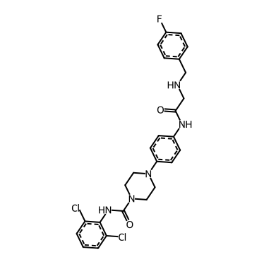 O=C(CNCc1ccc(F)cc1)Nc1ccc(N2CCN(C(=O)Nc3c(Cl)cccc3Cl)CC2)cc1